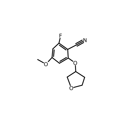 COc1cc(F)c(C#N)c(OC2CCOC2)c1